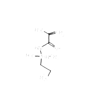 C=C(C)C(=O)N[AsH](C)(C)CCC